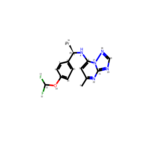 Cc1cc(N[C@@H](c2ccc(OC(F)F)cc2)C(C)C)n2ncnc2n1